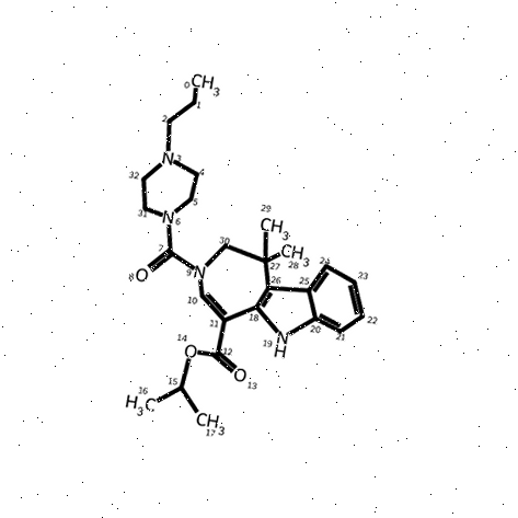 CCCN1CCN(C(=O)N2C=C(C(=O)OC(C)C)c3[nH]c4ccccc4c3C(C)(C)C2)CC1